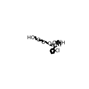 O=C(O)N(COCCOCCOCCO)[C@@H](Cn1ncnn1)c1ccccc1Cl